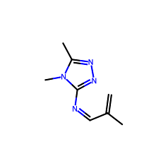 C=C(C)/C=N\c1nnc(C)n1C